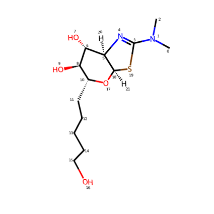 CN(C)C1=N[C@@H]2[C@@H](O)[C@H](O)[C@@H](CCCCCO)O[C@@H]2S1